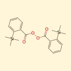 C[Si](C)(C)c1ccccc1C(=O)OOC(=O)c1ccccc1[Si](C)(C)C